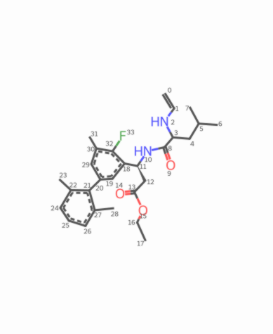 C=CNC(CC(C)C)C(=O)N[C@@H](CC(=O)OCC)c1cc(-c2c(C)cccc2C)cc(C)c1F